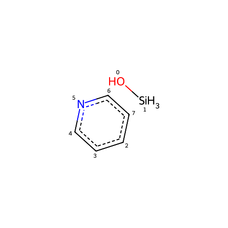 O[SiH3].c1ccncc1